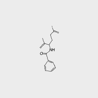 C=C(C)CCC(NC(=O)c1ccccc1)C(=C)C